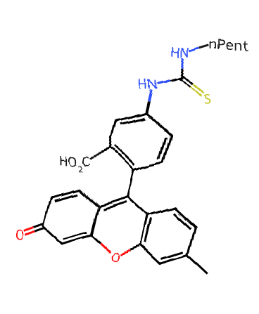 CCCCCNC(=S)Nc1ccc(-c2c3ccc(=O)cc-3oc3cc(C)ccc23)c(C(=O)O)c1